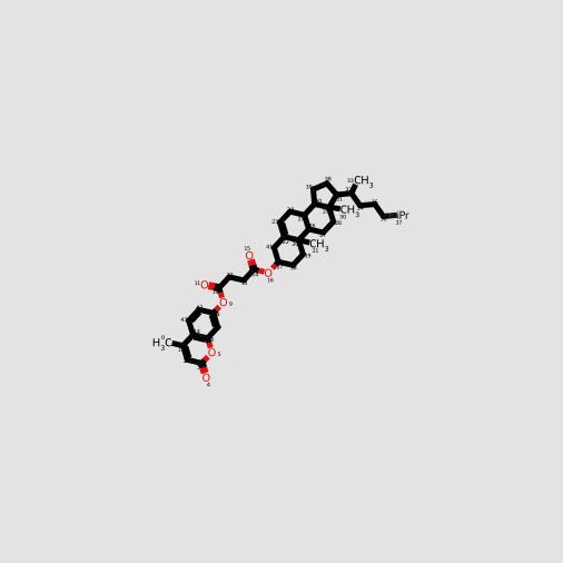 Cc1cc(=O)oc2cc(OC(=O)CCC(=O)OC3CCC4(C)C(=CCC5C4CCC4(C)C(C(C)CCCC(C)C)CCC54)C3)ccc12